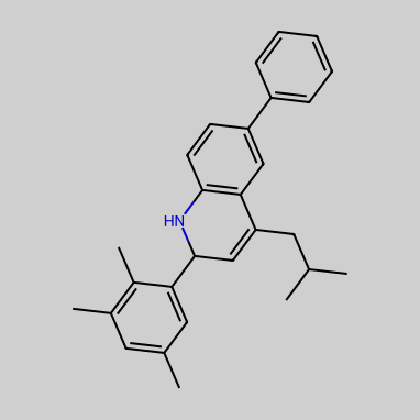 Cc1cc(C)c(C)c(C2C=C(CC(C)C)c3cc(-c4ccccc4)ccc3N2)c1